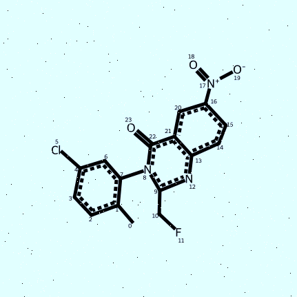 Cc1ccc(Cl)cc1-n1c(CF)nc2ccc([N+](=O)[O-])cc2c1=O